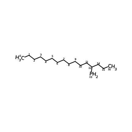 CCCCCCCCCCCCC(P)CCC